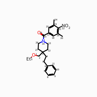 CCOCC1(CCc2ccccc2)CCN(C(=O)c2cc(C)c([N+](=O)[O-])c(C)c2)CC1